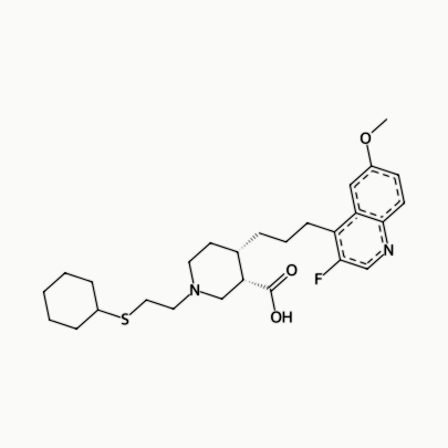 COc1ccc2ncc(F)c(CCC[C@H]3CCN(CCSC4CCCCC4)C[C@H]3C(=O)O)c2c1